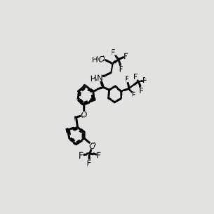 OC(CNC(c1cccc(OCc2cccc(OC(F)(F)F)c2)c1)C1CCCC(C(F)(F)C(F)(F)F)C1)C(F)(F)F